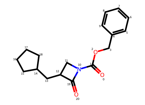 O=C(OCc1ccccc1)N1CC(CC2CCCC2)C1=O